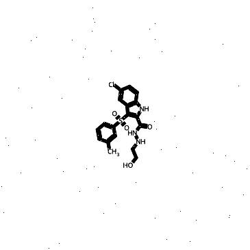 Cc1cccc(S(=O)(=O)c2c(C(=O)NNCCO)[nH]c3ccc(Cl)cc23)c1